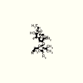 B[C@@H]1O[C@H](C(F)C(O)P(=O)(OCC)OCC)C[C@@H]1OP(OCCC#N)N(C(C)C)C(C)C